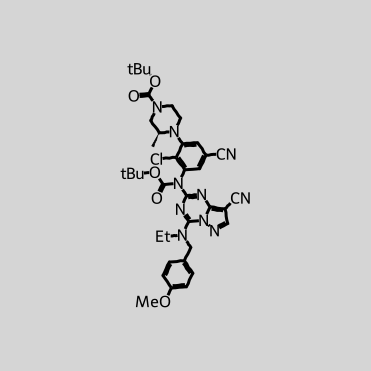 CCN(Cc1ccc(OC)cc1)c1nc(N(C(=O)OC(C)(C)C)c2cc(C#N)cc(N3CCN(C(=O)OC(C)(C)C)C[C@@H]3C)c2Cl)nc2c(C#N)cnn12